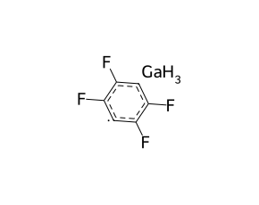 Fc1[c]c(F)c(F)cc1F.[GaH3]